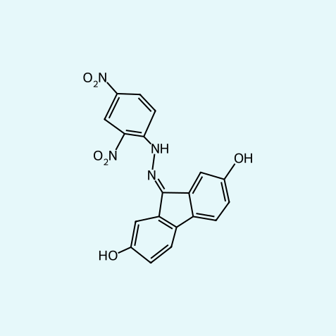 O=[N+]([O-])c1ccc(NN=C2c3cc(O)ccc3-c3ccc(O)cc32)c([N+](=O)[O-])c1